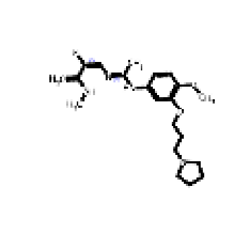 C=C(NC)/C(F)=C\N=C(/C)Nc1ccc(OC)c(OCCCN2CCCC2)c1